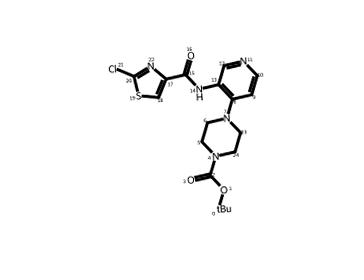 CC(C)(C)OC(=O)N1CCN(c2ccncc2NC(=O)c2csc(Cl)n2)CC1